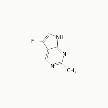 Cc1ncc2c(F)c[nH]c2n1